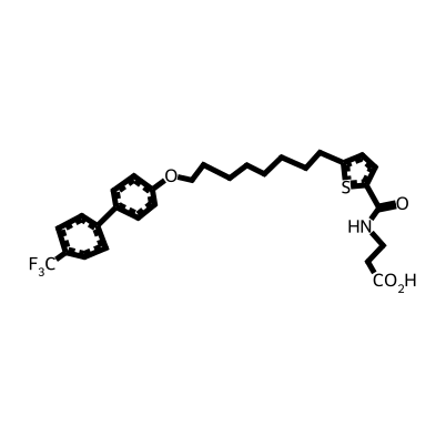 O=C(O)CCNC(=O)c1ccc(CCCCCCCCOc2ccc(-c3ccc(C(F)(F)F)cc3)cc2)s1